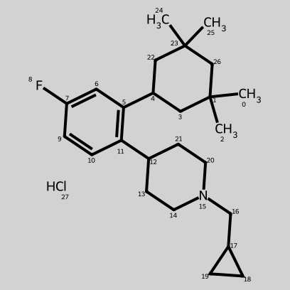 CC1(C)CC(c2cc(F)ccc2C2CCN(CC3CC3)CC2)CC(C)(C)C1.Cl